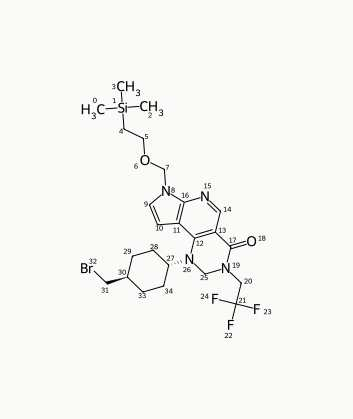 C[Si](C)(C)CCOCn1ccc2c3c(cnc21)C(=O)N(CC(F)(F)F)CN3[C@H]1CC[C@H](CBr)CC1